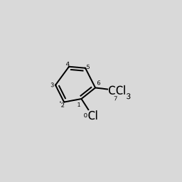 Clc1[c]cccc1C(Cl)(Cl)Cl